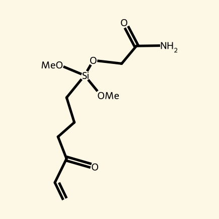 C=CC(=O)CCC[Si](OC)(OC)OCC(N)=O